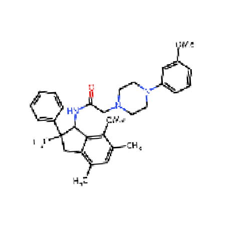 COc1cccc(N2CCN(CC(=O)NC3c4c(c(C)cc(C)c4OC)CC3(C)c3ccccc3)CC2)c1